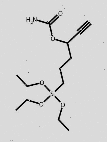 C#CC(CCC[Si](OCC)(OCC)OCC)OC(N)=O